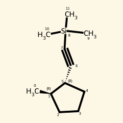 C[C@@H]1CCC[C@H]1C#C[Si](C)(C)C